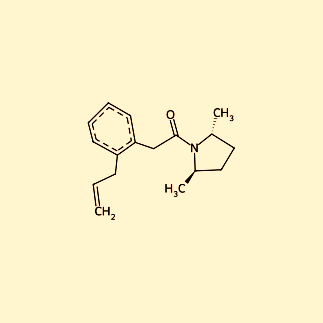 C=CCc1ccccc1CC(=O)N1[C@H](C)CC[C@H]1C